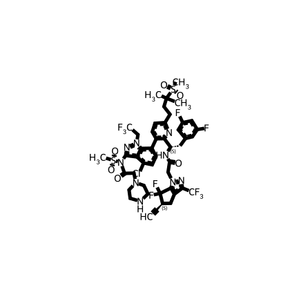 C#C[C@@H]1Cc2c(C(F)(F)F)nn(CC(=O)N[C@@H](Cc3cc(F)cc(F)c3)c3nc(CCC(C)(C)S(C)(=O)=O)ccc3-c3ccc(Cl)c4c(N(C(=O)CN5CCNCC5)S(C)(=O)=O)nn(CC(F)(F)F)c34)c2C1(F)F